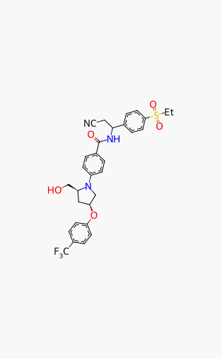 CCS(=O)(=O)c1ccc(C(CC#N)NC(=O)c2ccc(N3C[C@@H](Oc4ccc(C(F)(F)F)cc4)C[C@H]3CO)cc2)cc1